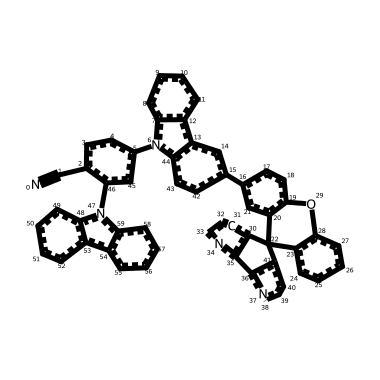 N#Cc1ccc(-n2c3ccccc3c3cc(-c4ccc5c(c4)C4(c6ccccc6O5)c5cccnc5-c5ncccc54)ccc32)cc1-n1c2ccccc2c2ccccc21